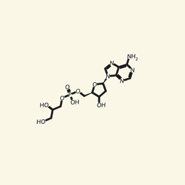 Nc1ncnc2c1ncn2[C@H]1CC(O)[C@@H](COP(=O)(O)OCC(O)CO)O1